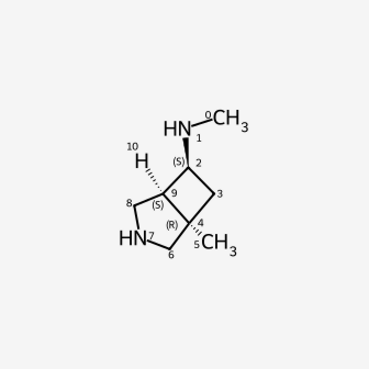 CN[C@H]1C[C@@]2(C)CNC[C@@H]12